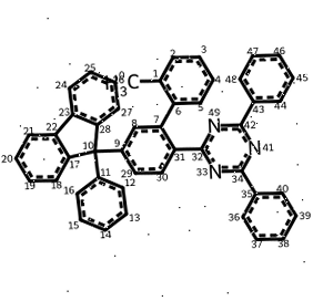 Cc1ccccc1-c1cc(C2(c3ccccc3)c3ccccc3-c3ccccc32)ccc1-c1nc(-c2ccccc2)nc(-c2ccccc2)n1